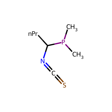 CCCC(N=C=S)P(C)C